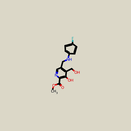 COC(=O)c1ncc(CNc2ccc(F)cc2)c(CO)c1O